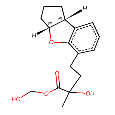 CC(O)(CCc1cccc2c1O[C@@H]1CCC[C@H]21)C(=O)OCO